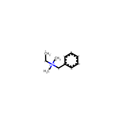 [CH2]C[N+](C)(C)Cc1ccccc1